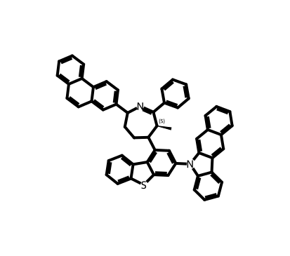 C[C@@H]1C(c2ccccc2)=NC(c2ccc3c(ccc4ccccc43)c2)CCC1c1cc(-n2c3ccccc3c3cc4ccccc4cc32)cc2sc3ccccc3c12